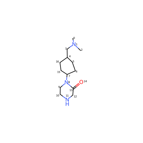 CN(C)CC1CCC(N2CCNCC2=O)CC1